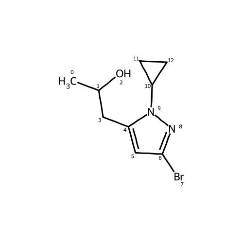 CC(O)Cc1cc(Br)nn1C1CC1